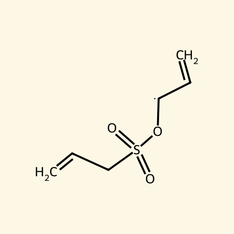 C=C[CH]OS(=O)(=O)CC=C